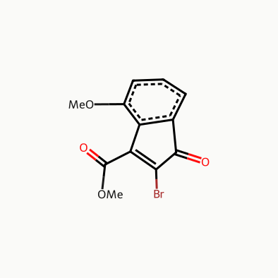 COC(=O)C1=C(Br)C(=O)c2cccc(OC)c21